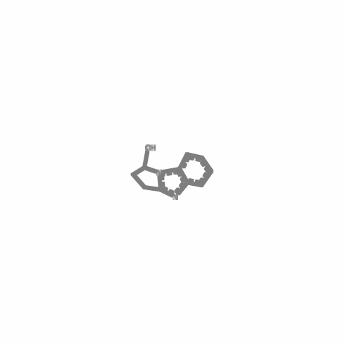 OC1CCc2nc3ccccc3n21